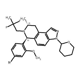 COc1cc(Br)ccc1[C@@H]1c2ccc3c(cnn3C3CCCCO3)c2C[C@@H](C)N1CC(C)(F)F